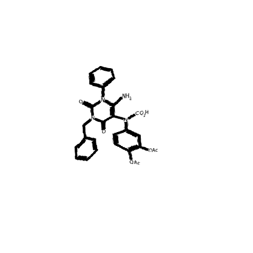 CC(=O)Oc1ccc(N(C(=O)O)c2c(N)n(-c3ccccc3)c(=O)n(Cc3ccccc3)c2=O)cc1OC(C)=O